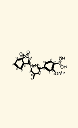 COc1cc(C2=NN(C3=NS(=O)(=O)c4ccccc43)CC(C)O2)ccc1B(O)O